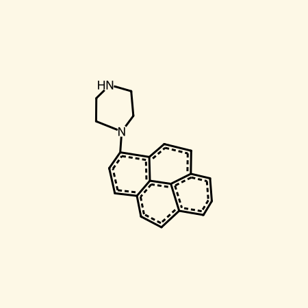 c1cc2ccc3ccc(N4CCNCC4)c4ccc(c1)c2c34